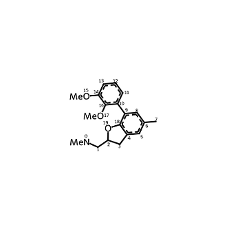 CNCC1Cc2cc(C)cc(-c3cccc(OC)c3OC)c2O1